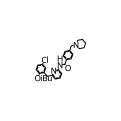 CC(C)COc1ccc(Cl)cc1Cc1cccc(NC(=O)c2ccc(CN3CCCCC3)cc2)n1